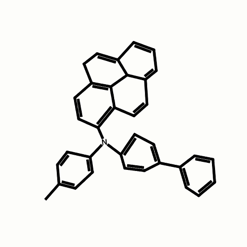 Cc1ccc(N(c2ccc(-c3ccccc3)cc2)c2ccc3c4c2C=CC2=CC=CC(=CC3)C24)cc1